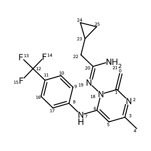 C=C1N=C(C)C=C(Nc2ccc(C(F)(F)F)cc2)N1/N=C(\N)CC1CC1